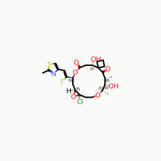 Cc1nc(C=C(F)[C@@H]2C[C@@H]3O[C@]3(Cl)CCO[C@@H](C)[C@@H](O)[C@@H](C)C(=O)C3(CCC3)[C@@H](O)CC(=O)O2)cs1